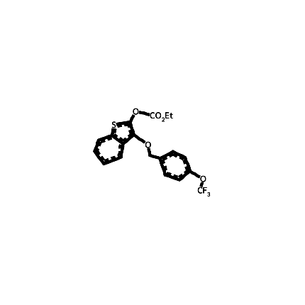 CCOC(=O)Oc1sc2ccccc2c1OCc1ccc(OC(F)(F)F)cc1